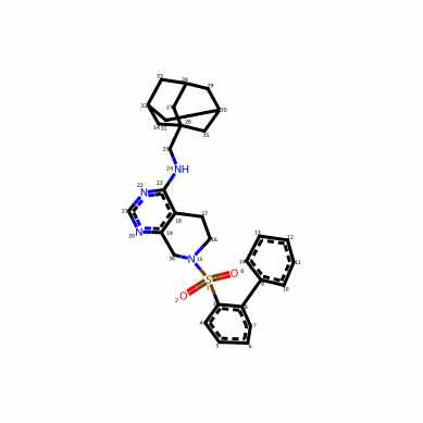 O=S(=O)(c1ccccc1-c1ccccc1)N1CCc2c(ncnc2NCC23CC4CC(CC(C4)C2)C3)C1